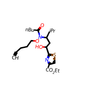 C#CCCCON(C(=O)CCCC)C(CC(O)c1nc(C(=O)OCC)cs1)C(C)C